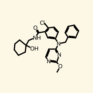 COc1nccc(N(Cc2ccccc2)c2ccc(Cl)c(C(=O)NCC3(O)CCCCC3)c2)n1